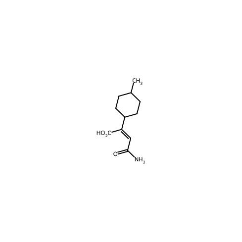 CC1CCC(/C(=C/C(N)=O)C(=O)O)CC1